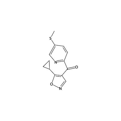 CSc1ccc(C(=O)c2cnoc2C2CC2)nc1